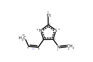 C=Nc1sc(CC)nc1/C=C\C